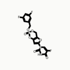 O=c1[nH]c(=O)n(-c2cc3c(o2)COP(=O)(OCc2cc(F)cc(F)c2)O3)cc1F